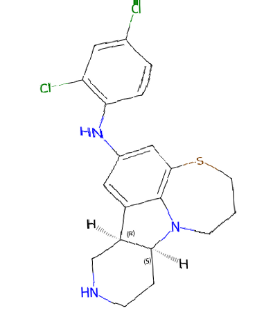 Clc1ccc(Nc2cc3c4c(c2)[C@@H]2CNCC[C@@H]2N4CCCS3)c(Cl)c1